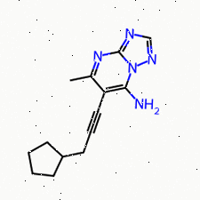 Cc1nc2ncnn2c(N)c1C#CCC1CCCC1